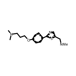 CNCc1cnc(-c2ccc(OCCCN(C)C)cc2)s1